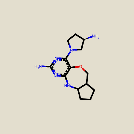 Nc1nc2c(c(N3CC[C@@H](N)C3)n1)OCC1CCCC1N2